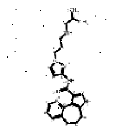 CC(C)CNCCCn1ccc(NC(=O)c2c[nH]c3c2-c2ncccc2CCC3)n1